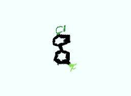 Fc1[c]ccc(-c2ccc(Cl)cc2)c1